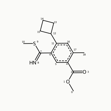 COC(=O)c1cc(C(=N)SC)c(C2CCC2)cc1C